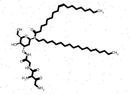 CCCCCCCC/C=C\CCCCCCCC(=O)N(CCCCCCCCCCCCCCCCCC)[C@H]1C[C@H](ONC(=O)CNC(=O)C(N)C(=O)CN)[C@@H](O)[C@@H](CO)O1